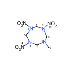 CN1CN([N+](=O)[O-])CN([N+](=O)[O-])CN([N+](=O)[O-])C1